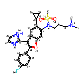 CN(C)CCCN(c1cc2oc(-c3ccc(F)cc3)c(-c3ncc[nH]3)c2cc1C1CC1)S(C)(=O)=O